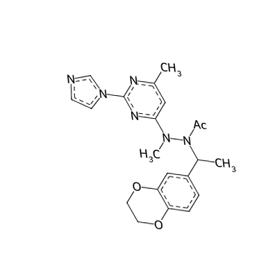 CC(=O)N(C(C)c1ccc2c(c1)OCCO2)N(C)c1cc(C)nc(-n2ccnc2)n1